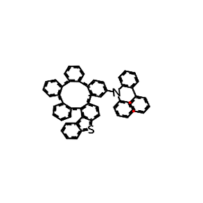 c1ccc(-c2ccccc2N(c2ccccc2)c2ccc3c4ccccc4c4ccccc4c4ccccc4c4c(ccc5sc6ccccc6c54)c3c2)cc1